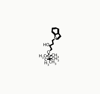 CC(C)(C)[Si](C)(C)OC[C@@H](O)CCn1ccc2ccccc21